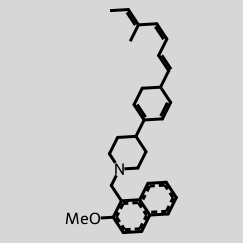 C/C=C(C)/C=C\C=C\C1C=CC(C2CCN(Cc3c(OC)ccc4ccccc34)CC2)=CC1